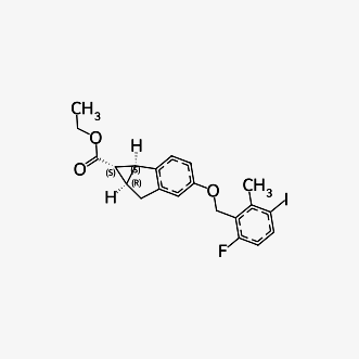 CCOC(=O)[C@H]1[C@@H]2Cc3cc(OCc4c(F)ccc(I)c4C)ccc3[C@@H]21